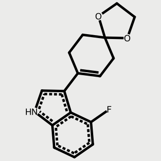 Fc1cccc2[nH]cc(C3=CCC4(CC3)OCCO4)c12